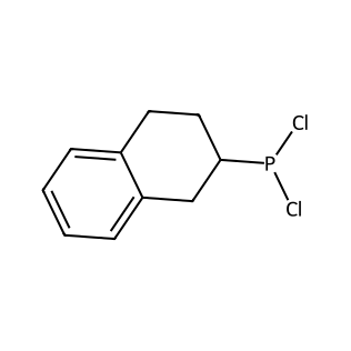 ClP(Cl)C1CCc2ccccc2C1